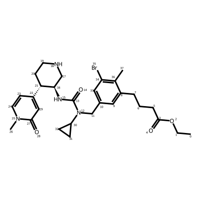 CCOC(=O)CCCc1cc(CN(C(=O)N[C@@H]2CNCC[C@H]2c2ccn(C)c(=O)c2)C2CC2)cc(Br)c1C